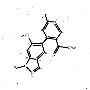 COC(=O)c1cnc(C)cc1-c1cc2cnn(C)c2cc1OC